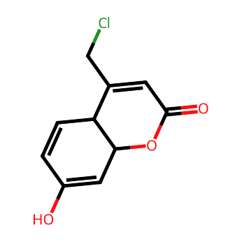 O=C1C=C(CCl)C2C=CC(O)=CC2O1